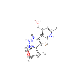 COCc1cc(C)nc2sc(-c3ccc(C)cc3C)c(/N=N\NC=O)c12